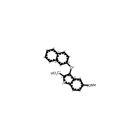 COc1ccc2sc(C(=O)O)c(Oc3ccc4ccccc4c3)c2c1